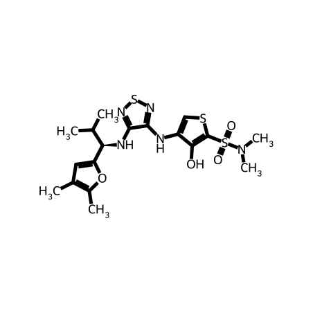 Cc1cc([C@H](Nc2nsnc2Nc2csc(S(=O)(=O)N(C)C)c2O)C(C)C)oc1C